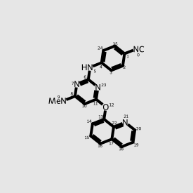 [C-]#[N+]c1ccc(Nc2nc(NC)cc(Oc3cccc4cccnc34)n2)cc1